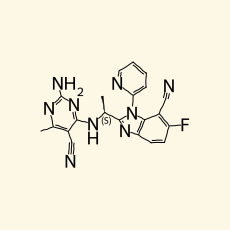 Cc1nc(N)nc(N[C@@H](C)c2nc3ccc(F)c(C#N)c3n2-c2ccccn2)c1C#N